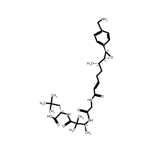 C[C@H](NC(=O)CNC(=O)/C=C/CC[C@H](C)[C@H]1O[C@@H]1c1ccc(CN)cc1)C(C)(C)C(=O)N[C@@H](CC(C)(C)C)C(=O)O